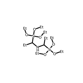 CCO[Si](OCC)(OCC)C(CC)NC(CC)[Si](OCC)(OCC)OCC